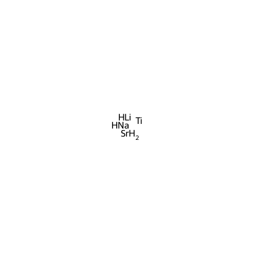 [LiH].[NaH].[SrH2].[Ti]